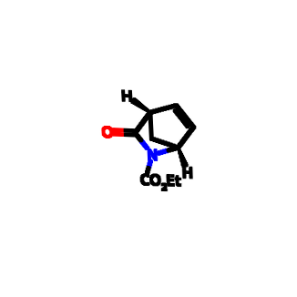 CCOC(=O)N1C(=O)[C@@H]2C=C[C@H]1C2